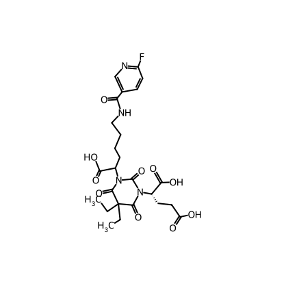 CCC1(CC)C(=O)N(C(CCCCNC(=O)c2ccc(F)nc2)C(=O)O)C(=O)N([C@@H](CCC(=O)O)C(=O)O)C1=O